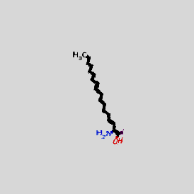 CCCCCCCCCCCCCCC=CC(N)=C(O)I